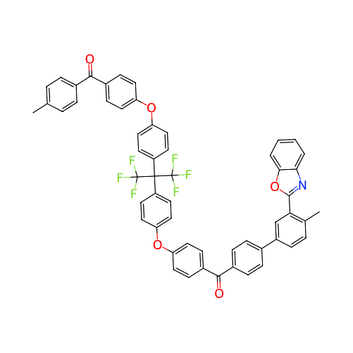 Cc1ccc(C(=O)c2ccc(Oc3ccc(C(c4ccc(Oc5ccc(C(=O)c6ccc(-c7ccc(C)c(-c8nc9ccccc9o8)c7)cc6)cc5)cc4)(C(F)(F)F)C(F)(F)F)cc3)cc2)cc1